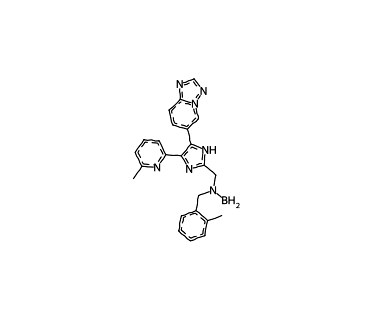 BN(Cc1nc(-c2cccc(C)n2)c(-c2ccc3ncnn3c2)[nH]1)Cc1ccccc1C